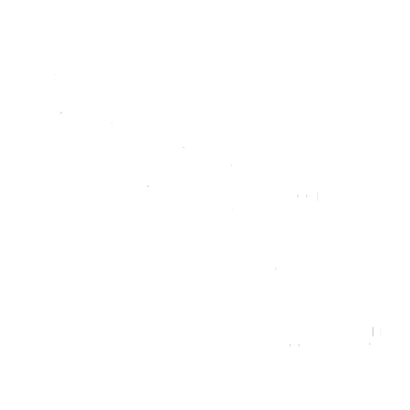 Cc1ccc(Cl)cc1-c1ccc(C(O)CCC(=O)O)cc1